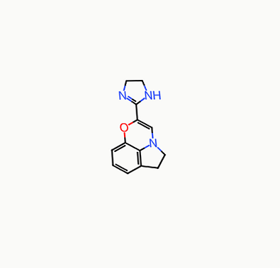 C1=C(C2=NCCN2)Oc2cccc3c2N1CC3